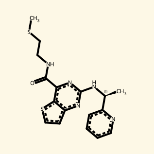 CSCCNC(=O)c1nc(N[C@@H](C)c2ccccn2)nc2ccsc12